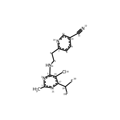 Cc1nc(NCCc2ccc(C#N)cn2)c(Cl)c(C(F)F)n1